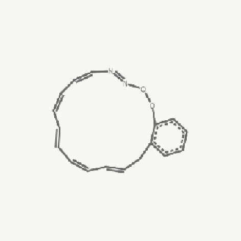 C1=C\C=C\C=C/C=C/Cc2ccccc2OO\N=N\C=C/1